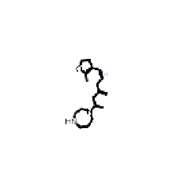 C=C(C/C=C\C1=C(C)OCC1)CC(C)N1CCCNCC1